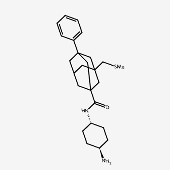 CSCC12CC3CC(C(=O)N[C@H]4CC[C@H](N)CC4)(C1)CC(c1ccccc1)(C3)C2